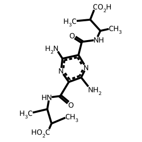 CC(NC(=O)c1nc(N)c(C(=O)NC(C)C(C)C(=O)O)nc1N)C(C)C(=O)O